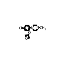 CN1CCN(c2ccc(Cl)cc2OC2COC2)CC1